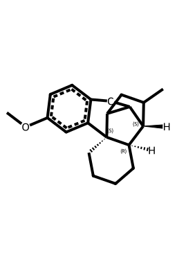 COc1ccc2c(c1)[C@]13CCCC[C@@H]1[C@H]1C(C)CC3C1C2